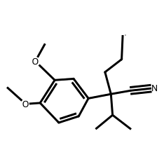 [CH2]CCC(C#N)(c1ccc(OC)c(OC)c1)C(C)C